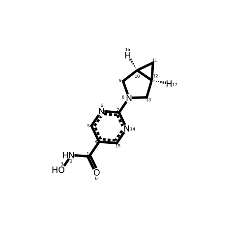 O=C(NO)c1cnc(N2C[C@H]3C[C@H]3C2)nc1